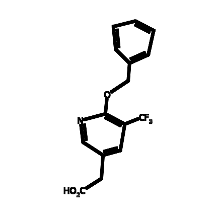 O=C(O)Cc1cnc(OCc2ccccc2)c(C(F)(F)F)c1